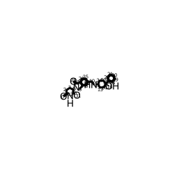 O=C1CCC(N2Cc3cc(CN[C@H]4CC[C@@](O)(c5ccccc5)CC4)ccc3C2=O)C(=O)N1